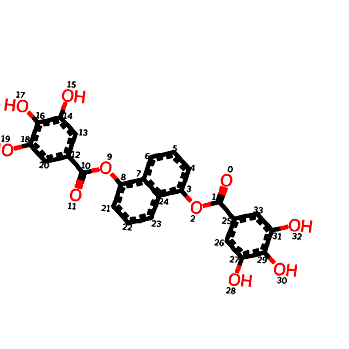 O=C(Oc1cccc2c(OC(=O)c3cc(O)c(O)c(O)c3)cccc12)c1cc(O)c(O)c(O)c1